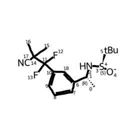 C[C@@H](N[S@+]([O-])C(C)(C)C)c1cccc(C(F)(F)C(C)(C)C#N)c1